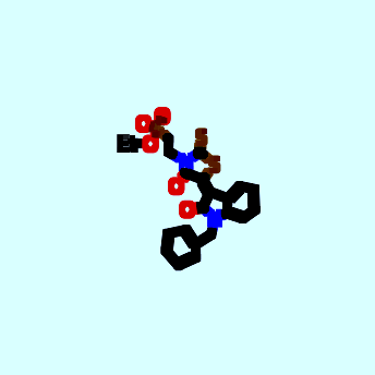 CCOS(=O)(=O)CCN1C(=O)C(=C2C(=O)N(Cc3ccccc3)c3ccccc32)SC1=S